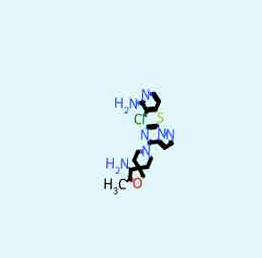 C[C@@H]1OCC2(CCN(c3ncc(Sc4ccnc(N)c4Cl)n4nccc34)CC2)[C@@H]1N